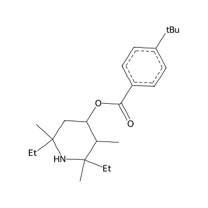 CCC1(C)CC(OC(=O)c2ccc(C(C)(C)C)cc2)C(C)C(C)(CC)N1